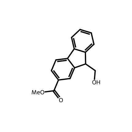 COC(=O)c1ccc2c(c1)C(CO)c1ccccc1-2